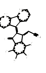 N#C/C=C1/C(=C2c3cccnc3-c3ncccc32)C(=O)c2c(F)c(F)c(F)c(F)c21